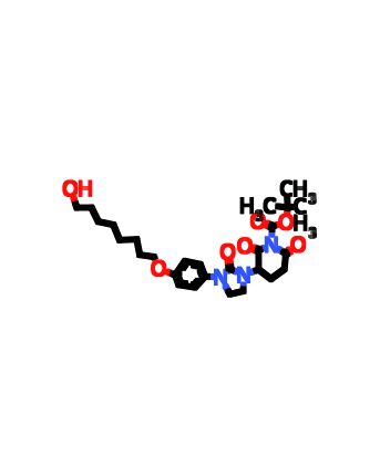 CC(C)(C)OC(=O)N1C(=O)CCC(N2CCN(c3ccc(OCCCCCCCCO)cc3)C2=O)C1=O